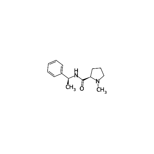 C[C@H](NC(=O)[C@H]1CCCN1C)c1ccccc1